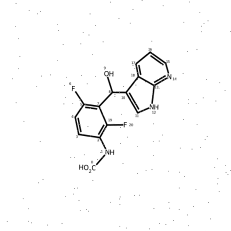 O=C(O)Nc1ccc(F)c(C(O)c2c[nH]c3ncccc23)c1F